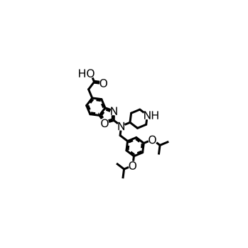 CC(C)Oc1cc(CN(c2nc3cc(CC(=O)O)ccc3o2)C2CCNCC2)cc(OC(C)C)c1